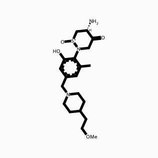 COCCC1CCN(Cc2cc(C)c(N3CC(=O)[C@@H](N)C[S+]3[O-])c(O)c2)CC1